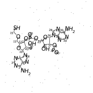 Nc1ncnc2c1ncn2C1OC(COCS)C(OP(=O)(O)OCC2OC(n3cnc4c(N)ncnc43)C(OP=O)C2O)C1F